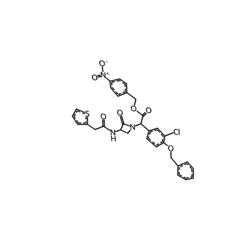 O=C(Cc1cccs1)NC1CN(C(C(=O)OCc2ccc([N+](=O)[O-])cc2)c2ccc(OCc3ccccc3)c(Cl)c2)C1=O